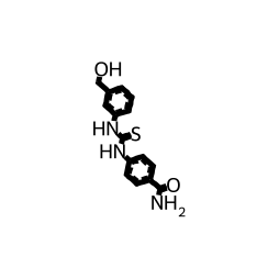 NC(=O)c1ccc(NC(=S)Nc2cccc(CO)c2)cc1